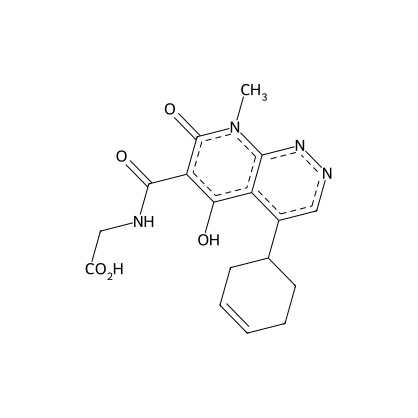 Cn1c(=O)c(C(=O)NCC(=O)O)c(O)c2c(C3CC=CCC3)cnnc21